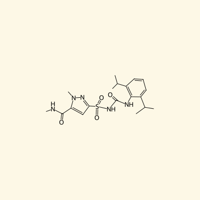 CNC(=O)c1cc(S(=O)(=O)NC(=O)Nc2c(C(C)C)cccc2C(C)C)nn1C